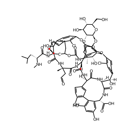 CN[C@H](CC(C)C)C(=O)N[C@H]1C(=O)N[C@@](C)(CC=O)C(=O)N[C@H]2C(=O)N[C@H]3C(=O)N[C@H](C(=O)N[C@H](C(=O)O)c4cc(O)cc(O)c4-c4cc3ccc4O)[C@H](O)c3ccc(c(Cl)c3)Oc3cc2cc(c3O[C@@H]2O[C@H](CO)[C@@H](O)[C@H](O)[C@H]2O[C@H]2C[C@](C)(NC(=O)OC3CC/C=C/CCC3)[C@@H](O)[C@H](C)O2)Oc2ccc(cc2Cl)[C@H]1O